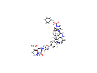 CCn1c(-c2cc(N3CCN(C(=O)OCc4ccccc4)CC3)cnc2[C@H](C)OC)c(CC(C)(C)COC=O)c2cc(-c3nc(C[C@H](NC(=O)OC(C)(C)C)C(=O)N4CCCCN4)co3)ccc21